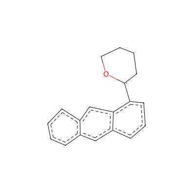 c1ccc2cc3c([C]4CCCCO4)cccc3cc2c1